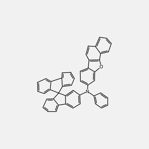 c1ccc(N(c2ccc3c(c2)C2(c4ccccc4-c4ccccc42)c2ccccc2-3)c2ccc3c(c2)oc2c4ccccc4ccc32)cc1